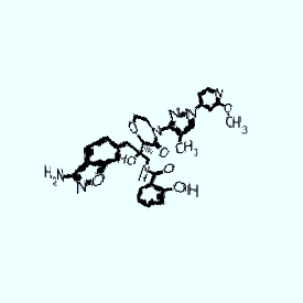 COc1cc(-n2cc(C)c(N3CCO[C@H](C(O)(CNC(=O)c4ccccc4O)Cc4ccc5c(N)noc5c4)C3=O)n2)ccn1